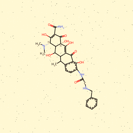 CC1c2ccc(NC(=O)CNCc3ccccc3)c(O)c2C(=O)C2=C(O)[C@]3(O)C(=O)C(C(N)=O)=C(O)[C@@H](N(C)C)C3C(O)C21